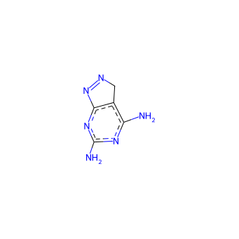 Nc1nc(N)c2c(n1)N=NC2